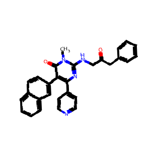 Cn1c(NCC(=O)Cc2ccccc2)nc(-c2ccncc2)c(-c2ccc3ccccc3c2)c1=O